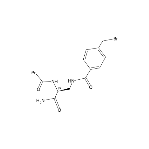 CC(C)C(=O)N[C@@H](CNC(=O)c1ccc(CBr)cc1)C(N)=O